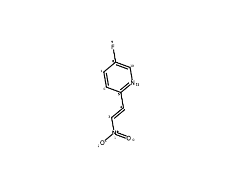 O=[N+]([O-])/C=C/c1ccc(F)cn1